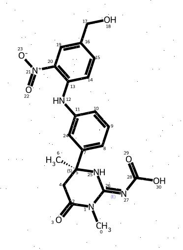 CN1C(=O)C[C@@](C)(c2cccc(Nc3ccc(CO)cc3[N+](=O)[O-])c2)N/C1=N\C(=O)O